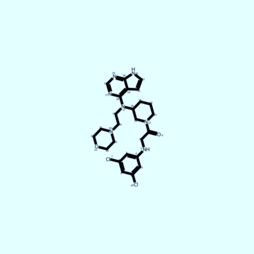 O=C(CNc1cc(Cl)cc(Cl)c1)N1CCCC(N(CCN2CCOCC2)c2ncnc3[nH]ccc23)C1